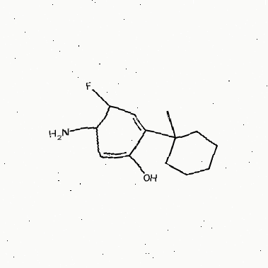 CC1(C2=CC(F)C(N)C=C2O)CCCCC1